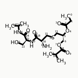 CCC(=O)O[C@H](COC(=O)C(C)C)CSC[C@H](N)C(=O)N[C@@H](CO)C(=O)NC(C)C